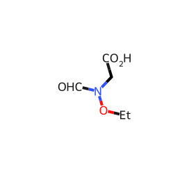 CCON(C=O)CC(=O)O